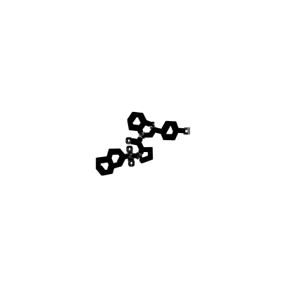 O=C(C1CCCN1S(=O)(=O)c1ccc2ccccc2c1)N1CC(c2ccc(Cl)cc2)Sc2ccccc21